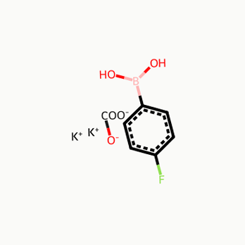 O=C([O-])[O-].OB(O)c1ccc(F)cc1.[K+].[K+]